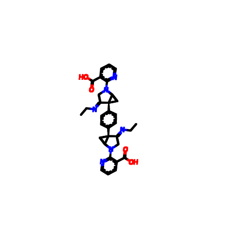 CCN=C1CN(c2ncccc2C(=O)O)C2C[C@]12c1ccc([C@]23CC2N(c2ncccc2C(=O)O)CC3=NCC)cc1